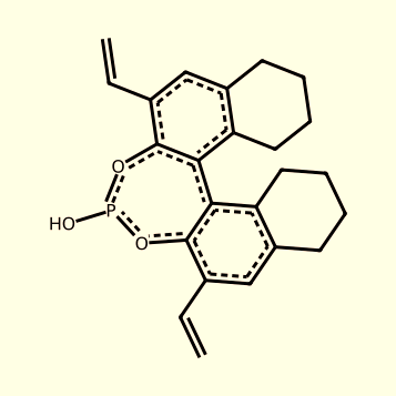 C=Cc1cc2c(c3c1op(O)oc1c(C=C)cc4c(c13)CCCC4)CCCC2